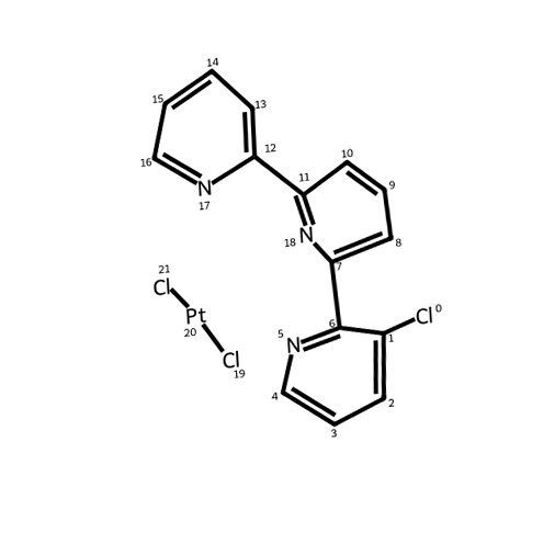 Clc1cccnc1-c1cccc(-c2ccccn2)n1.[Cl][Pt][Cl]